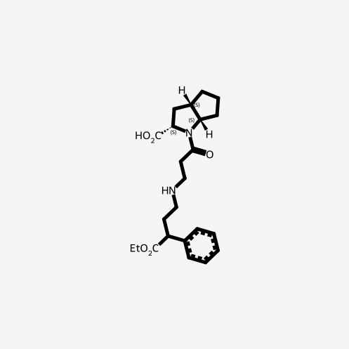 CCOC(=O)C(CCNCCC(=O)N1[C@H](C(=O)O)C[C@@H]2CCC[C@@H]21)c1ccccc1